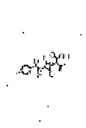 C=C(C)C(C(=O)O)N1C(=O)C(NC(=O)c2ccc(C)cc2)C1F